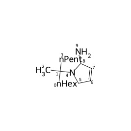 CCCCCCC(C)(CCCCC)N1CC=CC1N